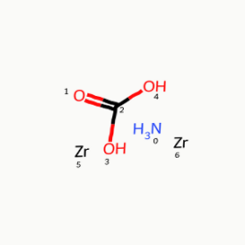 N.O=C(O)O.[Zr].[Zr]